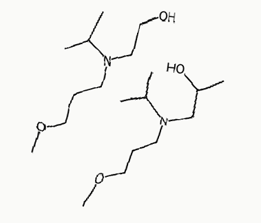 COCCCN(CC(C)O)C(C)C.COCCCN(CCO)C(C)C